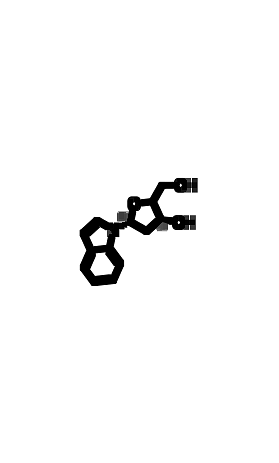 OCC1O[C@@H](n2ccc3ccccc32)C[C@@H]1O